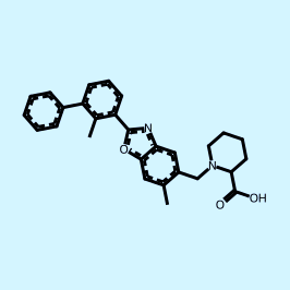 Cc1cc2oc(-c3cccc(-c4ccccc4)c3C)nc2cc1CN1CCCCC1C(=O)O